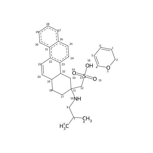 C1=CCOC=C1.CC(C)CNC1(CS(=O)(=O)O)CCC2C=Cc3c(ccc4ccccc34)C2C1